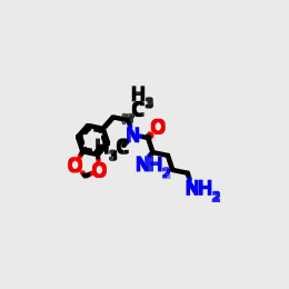 C[C@@H](Cc1ccc2c(c1)OCO2)N(C)C(=O)C(N)CCCN